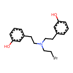 CC(C)CCN(CCc1cccc(O)c1)CCc1cccc(O)c1